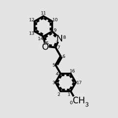 Cc1ccc(/C=C/c2nc3ccccc3o2)cc1